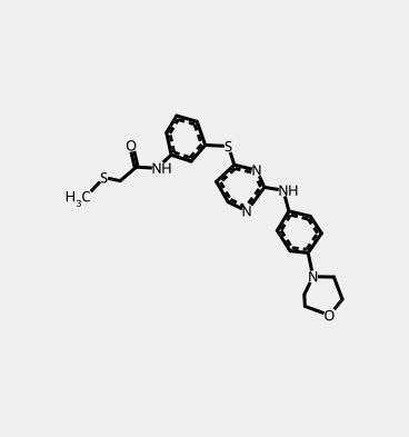 CSCC(=O)Nc1cccc(Sc2ccnc(Nc3ccc(N4CCOCC4)cc3)n2)c1